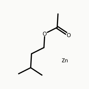 CC(=O)OCCC(C)C.[Zn]